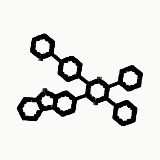 c1ccc(-c2nc(-c3ccc(-c4ccccn4)cc3)c(-c3ccc4c(c3)oc3ccccc34)nc2-c2ccccc2)cc1